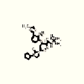 BC(B)(B)NC(=O)c1nnc(N2CCN(C3CCCC3)C2=O)cc1Nc1cccc(-c2ncn(C)n2)c1OC